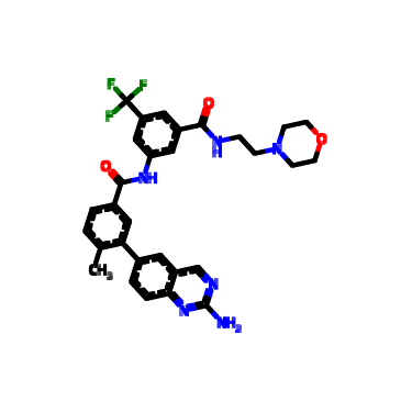 Cc1ccc(C(=O)Nc2cc(C(=O)NCCN3CCOCC3)cc(C(F)(F)F)c2)cc1-c1ccc2nc(N)ncc2c1